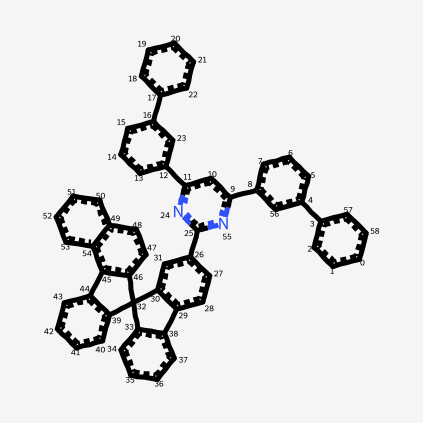 c1ccc(-c2cccc(-c3cc(-c4cccc(-c5ccccc5)c4)nc(-c4ccc5c(c4)C4(c6ccccc6-5)c5ccccc5-c5c4ccc4ccccc54)n3)c2)cc1